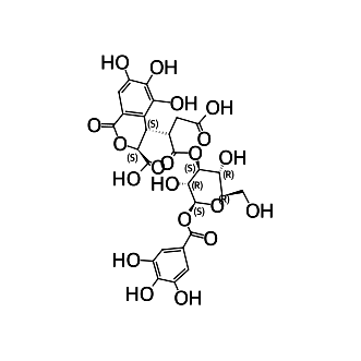 O=C(O)CC(C(=O)O[C@@H]1[C@@H](O)[C@H](OC(=O)c2cc(O)c(O)c(O)c2)O[C@H](CO)[C@H]1O)[C@H]1c2c(cc(O)c(O)c2O)C(=O)O[C@@H]1C(=O)O